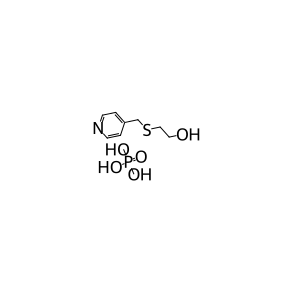 O=P(O)(O)O.OCCSCc1ccncc1